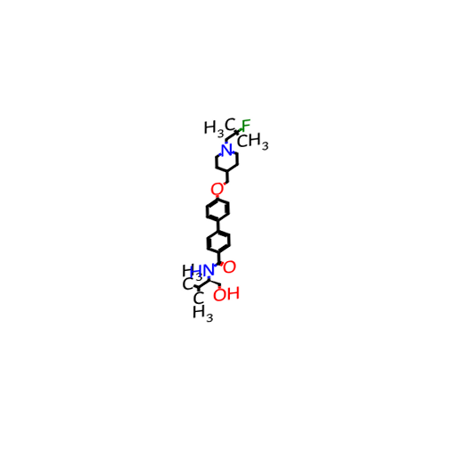 CC(C)[C@H](CO)NC(=O)c1ccc(-c2ccc(OCC3CCN(CC(C)(C)F)CC3)cc2)cc1